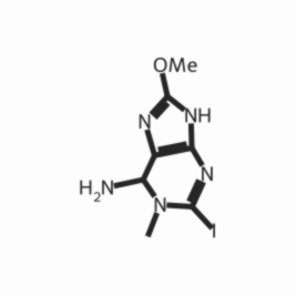 COc1nc2c([nH]1)N=C(I)N(C)C2N